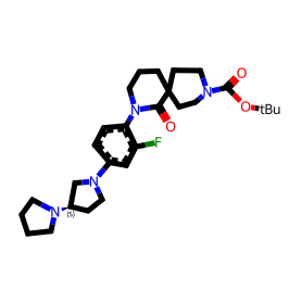 CC(C)(C)OC(=O)N1CCC2(CCCN(c3ccc(N4CC[C@H](N5CCCC5)C4)cc3F)C2=O)CC1